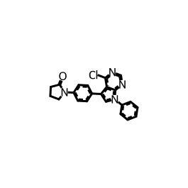 O=C1CCCN1c1ccc(-c2cn(-c3ccccc3)c3ncnc(Cl)c23)cc1